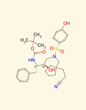 CC(C)(C)OC(=O)N[C@@H](Cc1ccccc1)[C@H](O)CN(CC1(CCC#N)CCCC1)S(=O)(=O)c1ccc(O)cc1